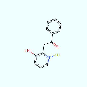 O=C(Cc1c(O)ccc[n+]1S)c1ccccc1